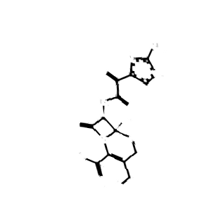 Nc1nc(C(=O)C(=O)N[C@@H]2C(=O)N3C(C(=O)O)=C(CO)CS[C@@H]23)cs1